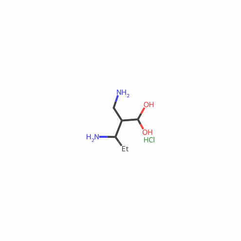 CCC(N)C(CN)C(O)O.Cl